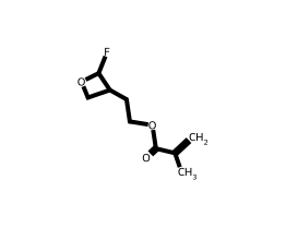 C=C(C)C(=O)OCCC1COC1F